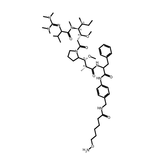 CC[C@H](C)[C@@H]([C@@H](CC(=O)N1CCCC1[C@H](OC)[C@@H](C)C(=O)NC(Cc1ccccc1)C(=O)Nc1ccc(CNC(=O)CCCCCON)cc1)OC)N(C)C(=O)C(N=C(N(C)C)N(C)C)C(C)C